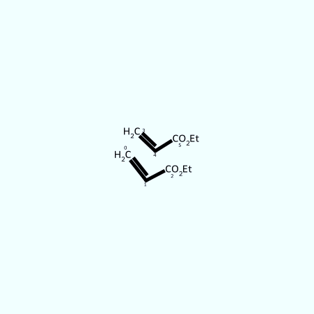 C=CC(=O)OCC.C=CC(=O)OCC